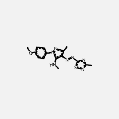 CNc1c(N=Nc2nc(C)ns2)c(C)nn1-c1ccc(OC)cc1